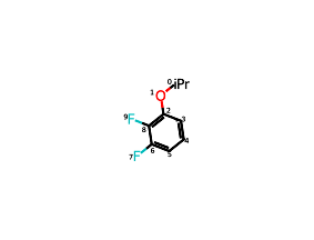 CC(C)Oc1[c]ccc(F)c1F